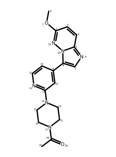 COc1ccc2ncc(-c3ccnc(N4CCN(C(C)=O)CC4)c3)n2n1